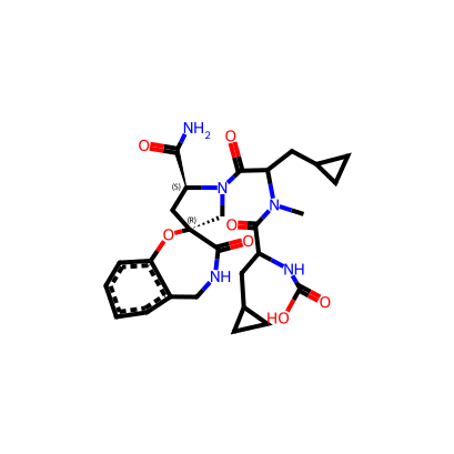 CN(C(=O)C(CC1CC1)NC(=O)O)C(CC1CC1)C(=O)N1C[C@@]2(C[C@H]1C(N)=O)Oc1ccccc1CNC2=O